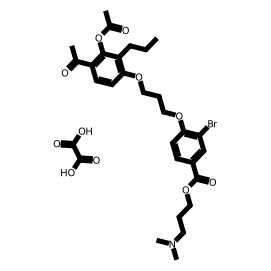 CCCc1c(OCCCOc2ccc(C(=O)OCCCN(C)C)cc2Br)ccc(C(C)=O)c1OC(C)=O.O=C(O)C(=O)O